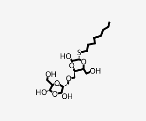 CCCCCCCCS[C@@H]1OC(CO)[C@@H](COC[C@H]2OC(CO)[C@@H](O)OC2O)OC1O